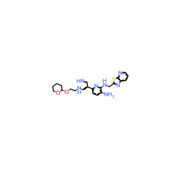 N=C/C(=C\NCCOC1CCCCO1)c1ccc(N)c(NCc2nc3cccnc3s2)n1